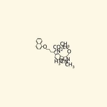 CCOC(=O)c1c(CCCOc2cccc3ccccc23)c2ccc(Cl)c3c2n1CC(C)CCOCc1nn(C)c(C)c1-3